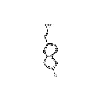 CCOC(=O)/C=C/c1ccc2cc(Cl)cnc2c1